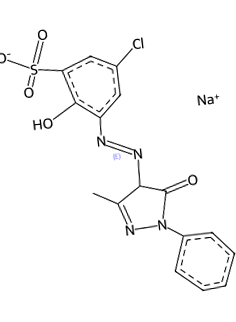 CC1=NN(c2ccccc2)C(=O)C1/N=N/c1cc(Cl)cc(S(=O)(=O)[O-])c1O.[Na+]